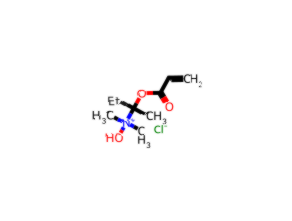 C=CC(=O)OC(C)(CC)[N+](C)(C)O.[Cl-]